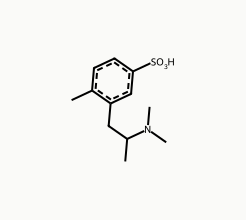 Cc1ccc(S(=O)(=O)O)cc1CC(C)N(C)C